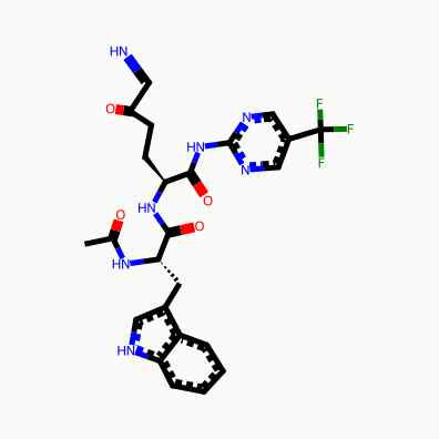 CC(=O)N[C@@H](Cc1c[nH]c2ccccc12)C(=O)N[C@@H](CCC(=O)C=N)C(=O)Nc1ncc(C(F)(F)F)cn1